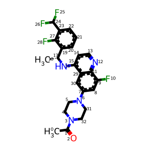 CC(=O)N1CCN(c2cc(F)c3nccc(N[C@H](C)c4cccc(C(F)F)c4F)c3c2)CC1